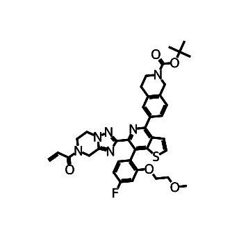 C=CC(=O)N1CCn2nc(-c3nc(-c4ccc5c(c4)CCN(C(=O)OC(C)(C)C)C5)c4ccsc4c3-c3ccc(F)cc3OCCOC)nc2C1